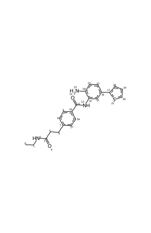 CCNC(=O)CCc1ccc(C(=O)Nc2cc(-c3cccs3)ccc2N)cc1